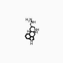 NNC[C@H]1CN[C@@H]2Cc3c[nH]c4cccc(c34)[C@H]2C1